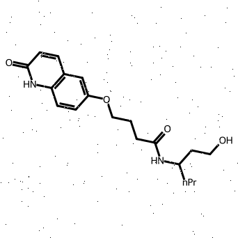 CCCC(CCO)NC(=O)CCCOc1ccc2[nH]c(=O)ccc2c1